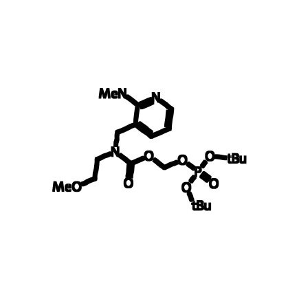 CNc1ncccc1CN(CCOC)C(=O)OCOP(=O)(OC(C)(C)C)OC(C)(C)C